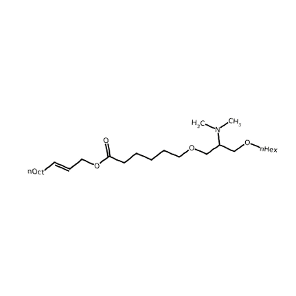 CCCCCCCCC=CCOC(=O)CCCCCOCC(COCCCCCC)N(C)C